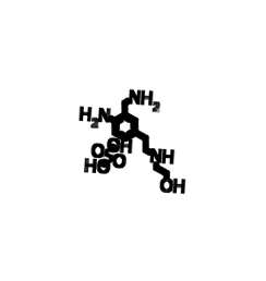 NCc1cc(CCNCCO)ccc1N.O=S(=O)(O)O